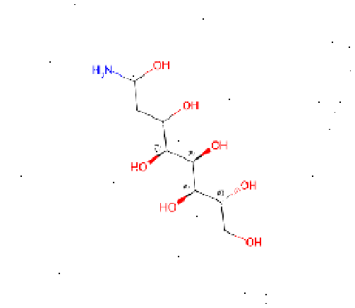 NC(O)CC(O)[C@H](O)[C@@H](O)[C@H](O)[C@H](O)CO